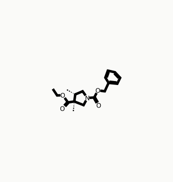 CCOC(=O)[C@]1(C)CN(C(=O)OCc2ccccc2)C[C@H]1C